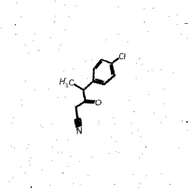 CC(C(=O)CC#N)c1ccc(Cl)cc1